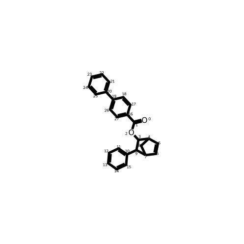 O=C(OC1C2C=CC(C2)C1c1ccccc1)c1ccc(-c2ccccc2)cc1